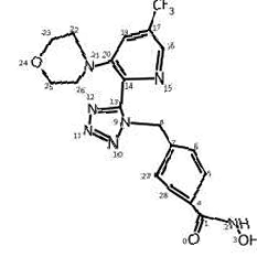 O=C(NO)c1ccc(Cn2nnnc2-c2ncc(C(F)(F)F)cc2N2CCOCC2)cc1